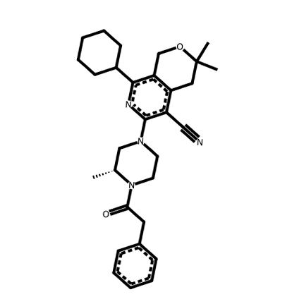 C[C@@H]1CN(c2nc(C3CCCCC3)c3c(c2C#N)CC(C)(C)OC3)CCN1C(=O)Cc1ccccc1